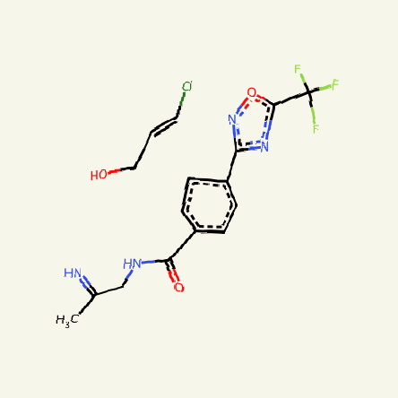 CC(=N)CNC(=O)c1ccc(-c2noc(C(F)(F)F)n2)cc1.OCC=CCl